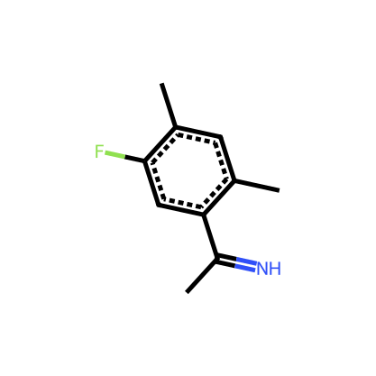 CC(=N)c1cc(F)c(C)cc1C